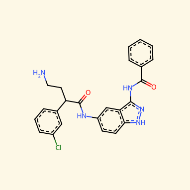 NCCC(C(=O)Nc1ccc2[nH]nc(NC(=O)c3ccccc3)c2c1)c1cccc(Cl)c1